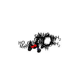 CNC(=O)c1ccccc1Sc1ccc2c(/C=C/c3ccccn3)nn(C(=O)N(CCC(=O)N[C@H](C(=O)N[C@@H](CCN)C(=O)N[C@H]3CCNC(=O)[C@H]([C@@H](C)O)NC(=O)[C@H](CCN)NC(=O)[C@H](CCN)NC(=O)[C@H](CC(C)C)NC(=O)[C@@H](Cc4ccccc4)NC(=O)[C@H](CCN)NC3=O)[C@@H](C)O)C[C@@H]3CCCN3C(=O)CC[C@H](N)C(=O)O)c2c1